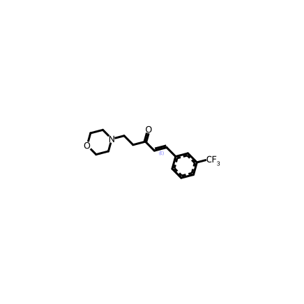 O=C(/C=C/c1cccc(C(F)(F)F)c1)CCN1CCOCC1